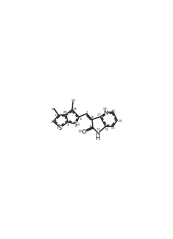 Cc1csc2sc(C=C3C(=O)Nc4cccnc43)c(C)c12